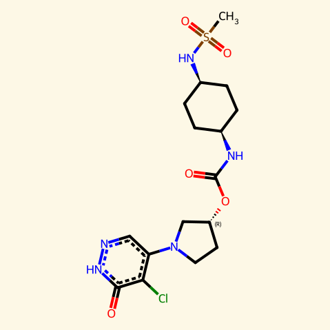 CS(=O)(=O)N[C@H]1CC[C@@H](NC(=O)O[C@@H]2CCN(c3cn[nH]c(=O)c3Cl)C2)CC1